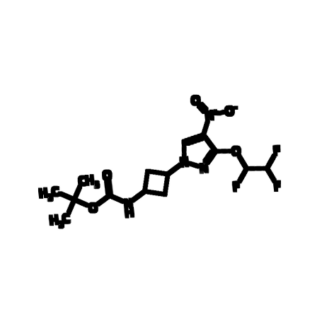 CC(C)(C)OC(=O)NC1CC(n2cc([N+](=O)[O-])c(OC(F)C(F)F)n2)C1